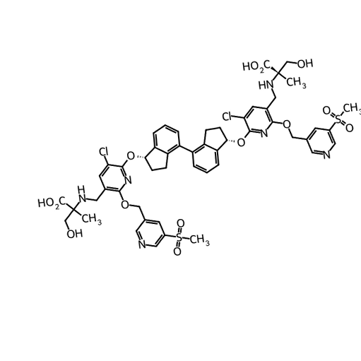 CC(CO)(NCc1cc(Cl)c(O[C@H]2CCc3c(-c4cccc5c4CC[C@@H]5Oc4nc(OCc5cncc(S(C)(=O)=O)c5)c(CN[C@@](C)(CO)C(=O)O)cc4Cl)cccc32)nc1OCc1cncc(S(C)(=O)=O)c1)C(=O)O